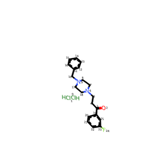 Cl.Cl.O=C(CCN1CCN(Cc2ccccc2)CC1)c1cccc(F)c1